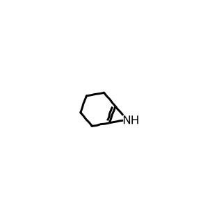 C1CCC2=C(C1)N2